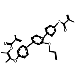 C=CCOc1cc(-c2ccc(OC(C)=C(C)OC(=O)C(=C)C)cc2)ccc1-c1ccc(OC(=O)C(=C)C)cc1